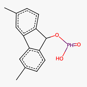 Cc1ccc2c(c1)-c1cc(C)ccc1C2O[PH](=O)O